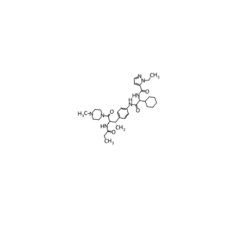 CCC(=O)N[C@@H](C(=O)N1CCN(C)CC1)[C@@H](C)c1ccc(NC(=O)[C@@H](NC(=O)c2ccnn2CC)C2CCCCC2)cc1